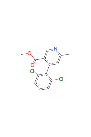 COC(=O)c1cnc(C)cc1-c1c(Cl)cccc1Cl